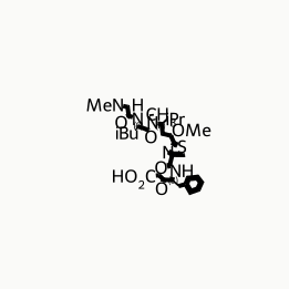 CCC(C)[C@H](NC(=O)CNC)C(=O)N(C)[C@H](CC(OC)c1nc(C(=O)N[C@@H](Cc2ccccc2)C(=O)CC(=O)O)cs1)C(C)C